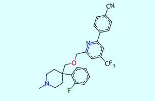 CN1CCC(COCc2cc(C(F)(F)F)cc(-c3ccc(C#N)cc3)n2)(c2ccccc2F)CC1